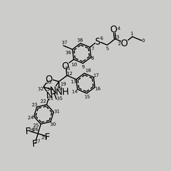 CCOC(=O)CSc1ccc(OC(c2ccccc2)C23NN(c4ccc(C(F)(F)F)cc4)C(O2)N3C)c(C)c1